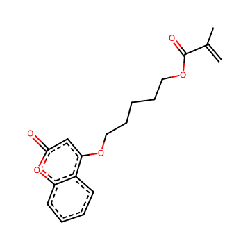 C=C(C)C(=O)OCCCCCOc1cc(=O)oc2ccccc12